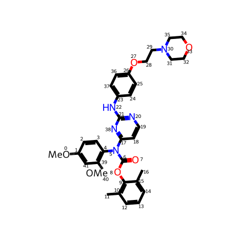 COc1ccc(N(C(=O)Oc2c(C)cccc2C)c2ccnc(Nc3ccc(OCCN4CCOCC4)cc3)n2)c(OC)c1